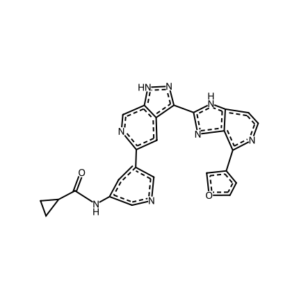 O=C(Nc1cncc(-c2cc3c(-c4nc5c(-c6ccoc6)nccc5[nH]4)n[nH]c3cn2)c1)C1CC1